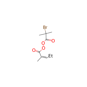 CCC=C(C)C(=O)OOC(=O)C(C)(C)Br